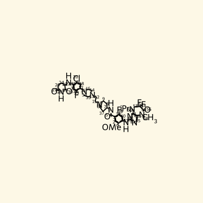 COc1cc(C(=O)NC2CCN(CCN3CCN(c4cc(Cl)c(NC5CCC(=O)NC5=O)cc4F)CC3)CC2)c(F)cc1Nc1ncc2c(n1)N(C(C)C)CC(F)(F)C(=O)N2C